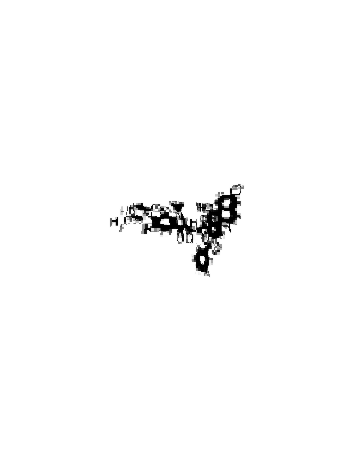 COc1c(N2CCNC(C)C2)c(F)cc2c(=O)c(C(=O)OCC(=O)[C@]3(OC(=O)c4ccccc4)CC[C@@H]4[C@H]5CCC6=CC(=O)C=C[C@@]6(C)C5[C@H](O)C[C@]43C)cn(C3CC3)c12